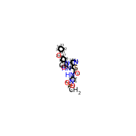 C=CS(=O)(=O)N1CC[C@@H](NC(=O)c2sc3nccc4c3c2NC(=O)N4c2ccc(Oc3ccccc3)cc2C)C1